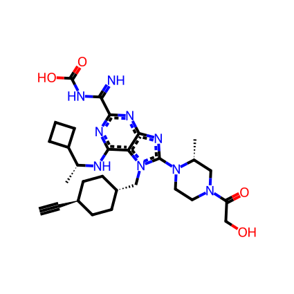 C#C[C@H]1CC[C@H](Cn2c(N3CCN(C(=O)CO)C[C@H]3C)nc3nc(C(=N)NC(=O)O)nc(N[C@H](C)C4CCC4)c32)CC1